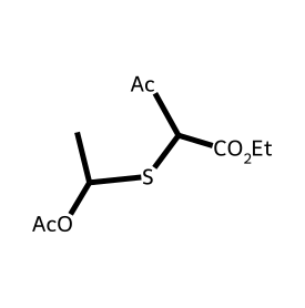 CCOC(=O)C(SC(C)OC(C)=O)C(C)=O